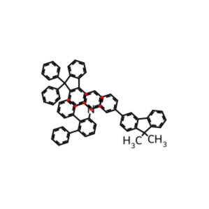 CC1(C)c2ccccc2-c2cc(-c3cccc(N(c4ccc5c(c4)-c4ccccc4C5(c4ccccc4)c4ccccc4)c4cccc(-c5ccccc5)c4-c4ccccc4-c4ccccc4)c3)ccc21